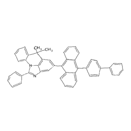 CC1(C)c2ccccc2-n2c(-c3ccccc3)nc3cc(-c4c5ccccc5c(-c5ccc(-c6ccccc6)cc5)c5ccccc45)cc1c32